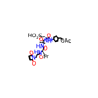 CC(=O)OCc1ccc(NC(=O)[C@H](CCC(=O)O)NC(=O)C(C)(C)NC(=O)[C@@H](CC(C)C)NC(=O)CCN2C(=O)C=CC2=O)cc1